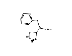 O=[C]N(Cc1ccccc1)c1cn[nH]c1